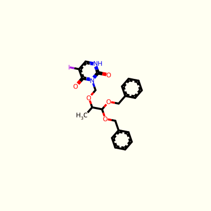 CC(OCn1c(=O)[nH]cc(I)c1=O)C(OCc1ccccc1)OCc1ccccc1